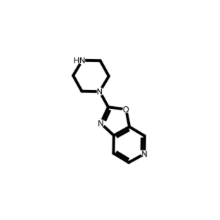 c1cc2nc(N3CCNCC3)oc2cn1